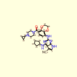 N#Cc1c[nH]c2nc(Nc3ccc(C(=O)N4CCN(C5CC5)CC4)c4c3OCCO4)nc(NC3CCCC3)c12